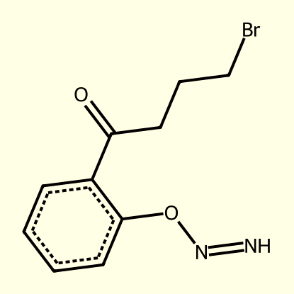 N=NOc1ccccc1C(=O)CCCBr